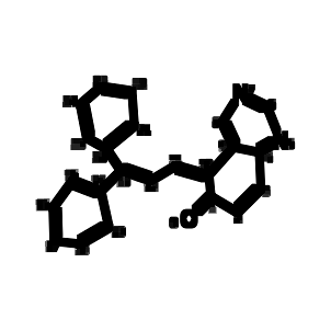 O=C1C=Cc2ncncc2/C1=C/C=C(c1ccccc1)c1ccccc1